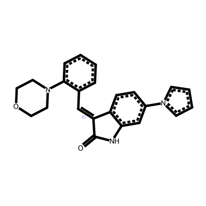 O=C1Nc2cc(-n3cccc3)ccc2/C1=C\c1ccccc1N1CCOCC1